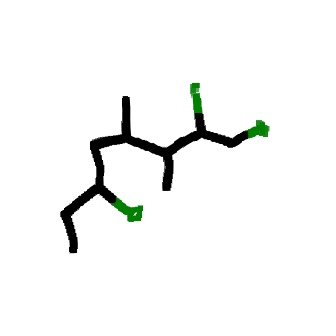 CCC(Cl)CC(C)C(C)C(F)CBr